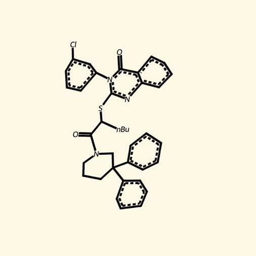 CCCCC(Sc1nc2ccccc2c(=O)n1-c1cccc(Cl)c1)C(=O)N1CCCC(c2ccccc2)(c2ccccc2)C1